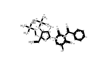 C=C[C@]1(CO[Si](C)(C)C(C)(C)C)O[C@@H](n2cc(F)c(=O)n(C(=O)c3ccccc3)c2=O)[C@@H](F)[C@@H]1O[Si](C)(C)C(C)(C)C